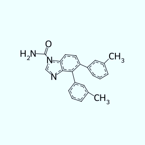 Cc1cccc(-c2ccc3c(ncn3C(N)=O)c2-c2cccc(C)c2)c1